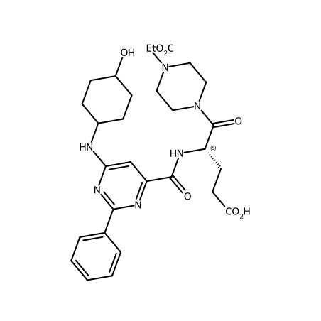 CCOC(=O)N1CCN(C(=O)[C@H](CCC(=O)O)NC(=O)c2cc(NC3CCC(O)CC3)nc(-c3ccccc3)n2)CC1